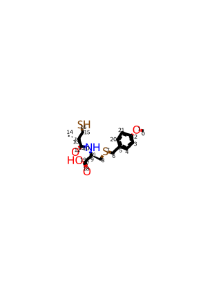 COc1ccc(CSC[C@H](NC(=O)[C@H](C)CS)C(=O)O)cc1